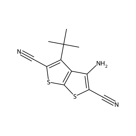 CC(C)(C)c1c(C#N)sc2sc(C#N)c(N)c12